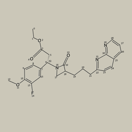 CCOC(=O)C[C@@H](c1ccc(OC)c(F)c1)N1CC(CCCc2ccc3cccnc3n2)C1=O